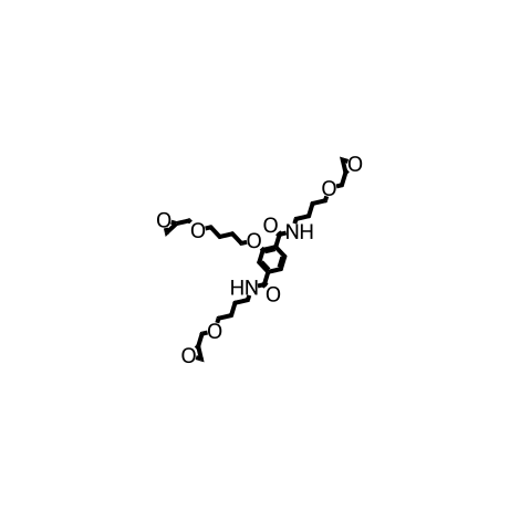 O=C(NCCCCOCC1CO1)c1ccc(C(=O)NCCCCOCC2CO2)c(OCCCCOCC2CO2)c1